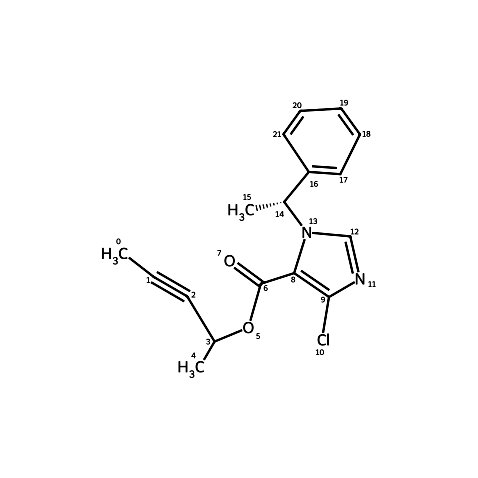 CC#CC(C)OC(=O)c1c(Cl)ncn1[C@H](C)c1ccccc1